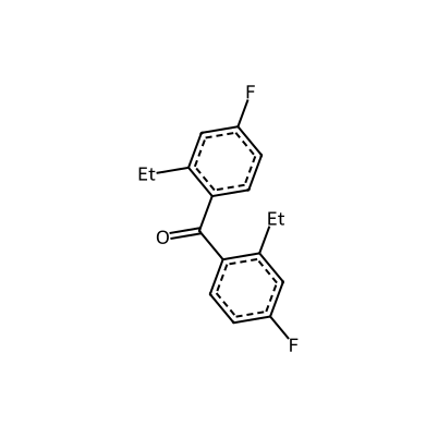 CCc1cc(F)ccc1C(=O)c1ccc(F)cc1CC